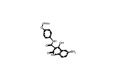 Bc1ccc2[nH]c(=O)c(C(=O)Nc3ccc(OCCCCCC)cc3)c(O)c2c1